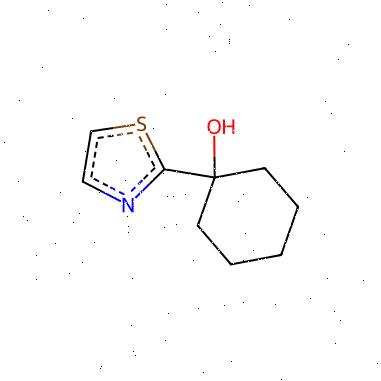 OC1(c2nccs2)CCCCC1